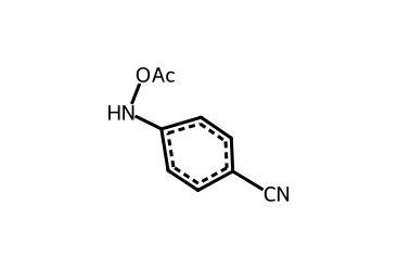 CC(=O)ONc1ccc(C#N)cc1